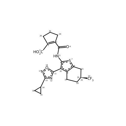 O=C(O)C1=C(C(=O)Nc2sc3c(c2-c2nc(C4CC4)no2)CC[C@H](C(F)(F)F)C3)CCC1